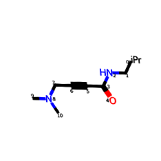 CC(C)CNC(=O)C#CCN(C)C